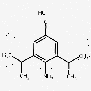 CC(C)c1cc(Cl)cc(C(C)C)c1N.Cl